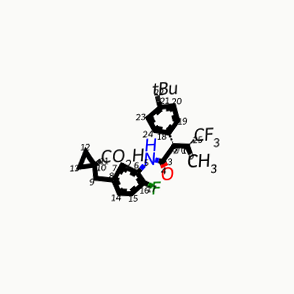 C[C@H]([C@H](C(=O)Nc1cc(CC2(C(=O)O)CC2)ccc1F)c1ccc(C(C)(C)C)cc1)C(F)(F)F